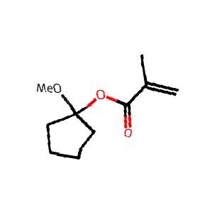 C=C(C)C(=O)OC1(OC)CCCC1